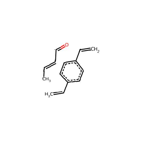 C=Cc1ccc(C=C)cc1.CC=C[C]=O